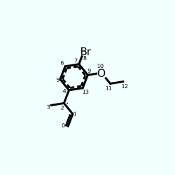 C=C[C](C)c1ccc(Br)c(OCC)c1